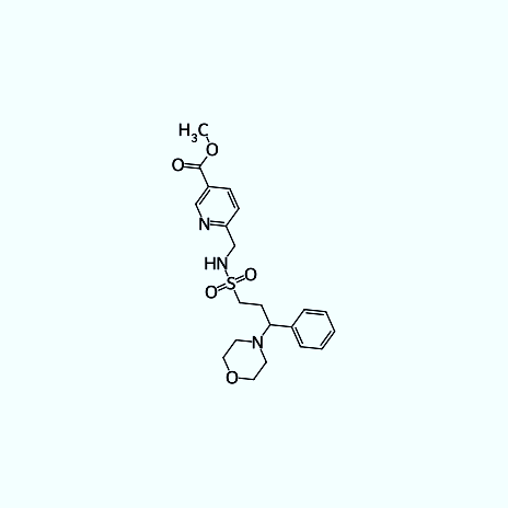 COC(=O)c1ccc(CNS(=O)(=O)CCC(c2ccccc2)N2CCOCC2)nc1